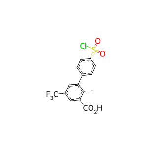 Cc1c(C(=O)O)cc(C(F)(F)F)cc1-c1ccc(S(=O)(=O)Cl)cc1